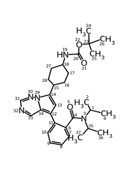 CC(C)N(C(=O)c1ccccc1-c1cc(C2CCC(NC(=O)OC(C)(C)C)CC2)n2ncncc12)C(C)C